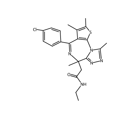 CCNC(=O)CC1(C)N=C(c2ccc(Cl)cc2)c2c(sc(C)c2C)-n2c(C)nnc21